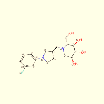 OC[C@@H]1[C@@H](O)[C@H](O)[C@@H](O)CN1C[C@H]1CCN(c2cccc(F)c2)C1